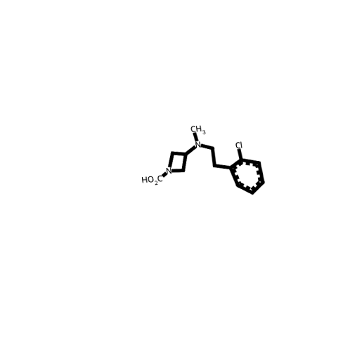 CN(CCc1ccccc1Cl)C1CN(C(=O)O)C1